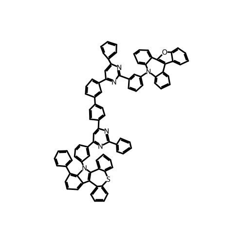 c1ccc(-c2cc(-c3cccc(-c4ccc(-c5cc(-c6cccc(-n7c8c(c9cccc(-c%10ccccc%10)c97)-c7ccccc7Sc7ccccc7-8)c6)nc(-c6ccccc6)n5)cc4)c3)nc(-c3cccc(N4c5ccccc5-c5oc6ccccc6c5-c5ccccc54)c3)n2)cc1